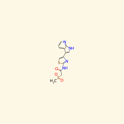 CS(=O)(=O)CC(=O)Nc1nc(-c2c[nH]c3ncccc23)cs1